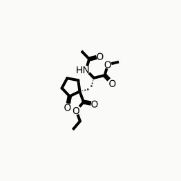 CCOC(=O)[C@]1(C[C@H](NC(C)=O)C(=O)OC)CCCC1=O